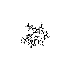 CCCCC(NC(=O)C(CCC(=O)C(=O)NC)NC(=O)CNC(C)=O)C(=O)NC(C(=O)NC(CC(C)C)C(=O)N1CCC[C@H]1C(=O)NC(Cc1c[nH]c2ccccc12)C(N)=O)C(C)CC